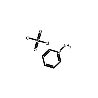 N[n+]1ccccc1.O=S(=O)(Cl)Cl